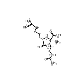 N=C(N)NCCC[C@H](N[C@](N)(CCCNC(N)=O)C(=O)O)C(=O)O